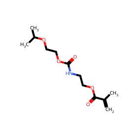 C=C(C)C(=O)OCCNC(=O)OCCOC(C)C